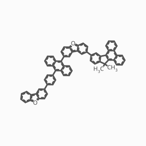 CC1(C)c2ccc(-c3ccc4oc5ccc(-c6c7ccccc7c(-c7ccc(-c8ccc9oc%10ccccc%10c9c8)cc7)c7ccccc67)cc5c4c3)cc2-c2c1c1ccccc1c1ccccc21